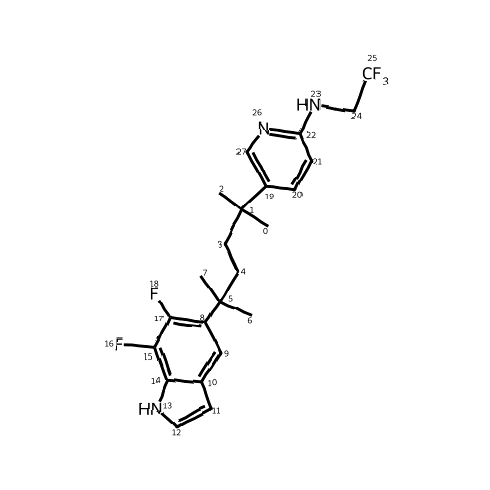 CC(C)(CCC(C)(C)c1cc2cc[nH]c2c(F)c1F)c1ccc(NCC(F)(F)F)nc1